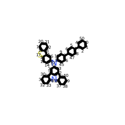 c1ccc(-c2ccc(-c3ccc(N(c4ccc5sc6ccccc6c5c4)c4cc5c6ccccc6n6c7ccccc7c(c4)c56)cc3)cc2)cc1